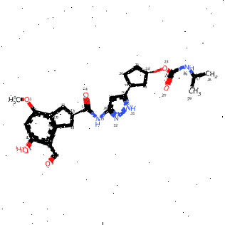 COc1cc(O)c(C=O)c2c1C[C@@H](C(=O)Nc1cc([C@H]3CC[C@@H](OC(=O)NC(C)C)C3)[nH]n1)C2